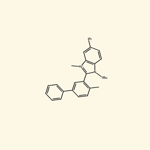 Cc1ccc(-c2ccccc2)cc1-c1n(C(C)(C)C)c2ccc(C(C)C)cc2[n+]1C